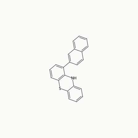 c1ccc2c(c1)Nc1c(cccc1-c1ccc3ccccc3c1)S2